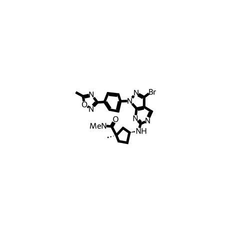 CNC(=O)[C@]1(C)CC[C@@H](Nc2ncc3c(Br)nn(-c4ccc(-c5noc(C)n5)cc4)c3n2)C1